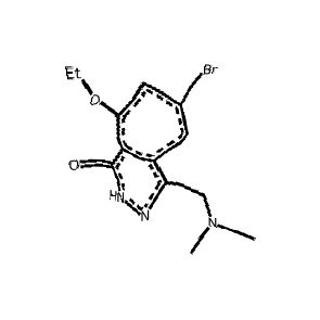 CCOc1cc(Br)cc2c(CN(C)C)n[nH]c(=O)c12